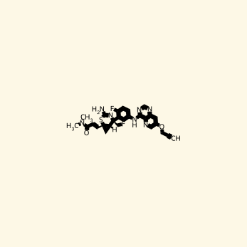 C#CCOc1cnc2c(Nc3ccc(F)c([C@@]4(CF)N=C(N)S[C@@]5(C=CC(=O)N(C)C)C[C@H]54)c3)ncnc2c1